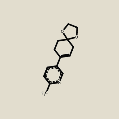 FC(F)(F)c1ccc(C2=CCC3(CC2)OCCO3)cn1